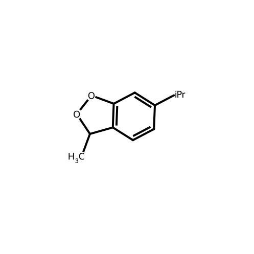 CC(C)c1ccc2c(c1)OOC2C